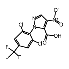 O=C(O)c1c([N+](=O)[O-])cnn1-c1c(Cl)cc(C(F)(F)F)cc1Cl